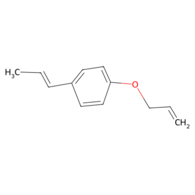 C=CCOc1ccc(C=CC)cc1